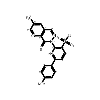 CCS(=O)(=O)c1ccc(-c2ccc(C#N)cc2)nc1-n1ncc2cc(C(F)(F)F)cnc2c1=O